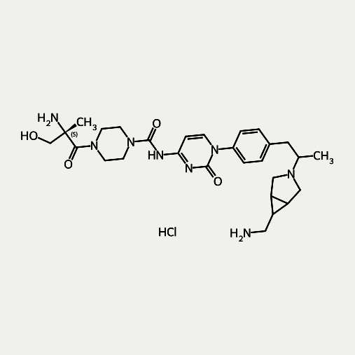 CC(Cc1ccc(-n2ccc(NC(=O)N3CCN(C(=O)[C@@](C)(N)CO)CC3)nc2=O)cc1)N1CC2C(CN)C2C1.Cl